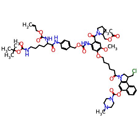 C=CCOC(=O)NC(CCCCNC(=O)OC(C)(C)C)C(=O)Nc1ccc(COC(=O)Nc2cc(OCCCCCC(=O)N3CC(CCl)c4c3cc(OC(=O)N3CCN(C)CC3)c3ccccc43)c(OC)cc2C(=O)N2CCCC2COC(C)=O)cc1